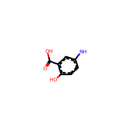 [NH]c1ccc(O)c(C(=O)O)c1